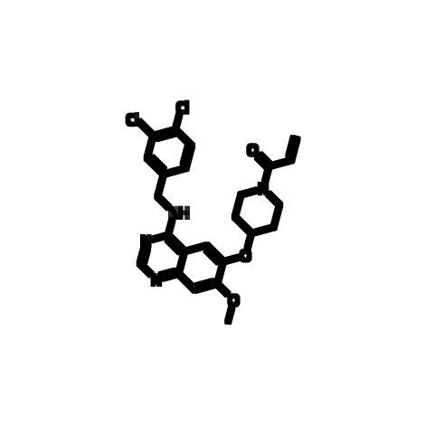 C=CC(=O)N1CCC(Oc2cc3c(NCc4ccc(Cl)c(Cl)c4)ncnc3cc2OC)CC1